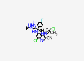 BC(Nc1cc(Cl)c2ncc(C#N)c(NCC(C)(C)CCl)c2c1)(C1=CN(C2CC2)NN1)c1ccc(F)cc1